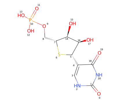 O=c1[nH]cc([C@@H]2S[C@H](COP(=O)(O)O)[C@@H](O)[C@H]2O)c(=O)[nH]1